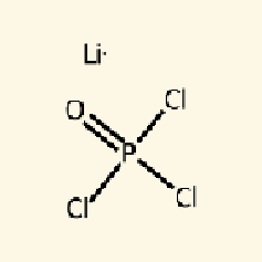 O=P(Cl)(Cl)Cl.[Li]